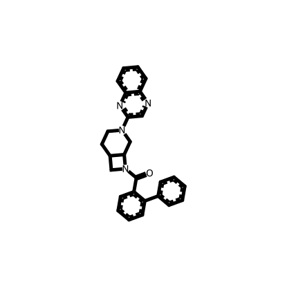 O=C(c1ccccc1-c1ccccc1)N1CC2CCN(c3cnc4ccccc4n3)CC21